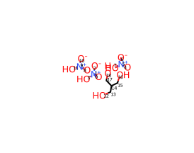 O=[N+]([O-])O.O=[N+]([O-])O.O=[N+]([O-])O.OCC(CO)CO